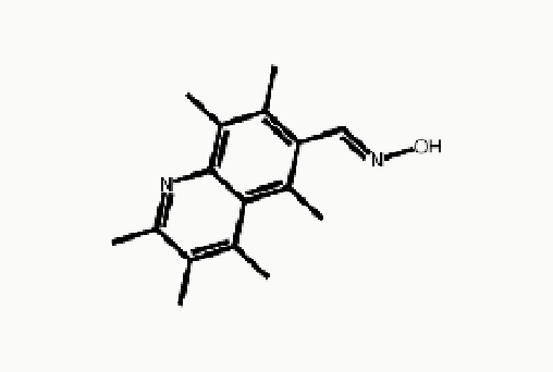 Cc1nc2c(C)c(C)c(C=NO)c(C)c2c(C)c1C